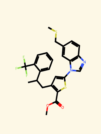 COC(=O)c1sc(-n2cnc3ccc(CSC)cc32)cc1CC(C)c1ccccc1C(F)(F)F